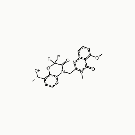 COc1cccc2nc(CN3C(=O)C(F)(F)Oc4c([C@H](C)O)cccc43)n(C)c(=O)c12